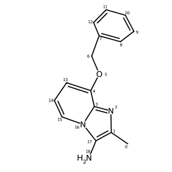 Cc1nc2c(OCc3ccccc3)cccn2c1N